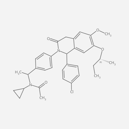 CC[C@@H](C)Oc1cc2c(cc1OC)CC(=O)N(c1ccc(C(C)N(C(C)=O)C3CC3)cc1)C2c1ccc(Cl)cc1